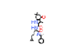 Cc1c(C(=O)N[C@H](CCCC2CC2)C(=O)N(C)[C@H](C)c2ccccc2)[nH]c2c1C(=O)CC(C)(C)C2